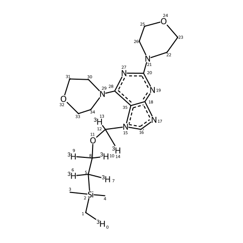 [3H]C[Si](C)(C)C([3H])([3H])C([3H])([3H])OC([3H])([3H])n1[c]nc2nc(N3CCOCC3)nc(N3CCOCC3)c21